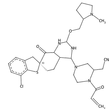 C=CC(=O)N1CCN(C2NC(OCC3CCCN3C)NC3C(=O)[C@]4(CCC32)Cc2cccc(Cl)c2S4)CC1CC#N